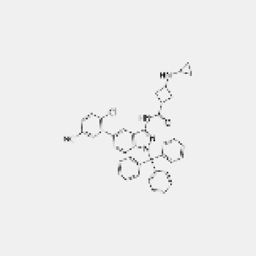 N#Cc1ccc(Cl)c(-c2ccc3c(c2)c(NC(=O)C2CC(NC4CC4)C2)nn3C(c2ccccc2)(c2ccccc2)c2ccccc2)c1